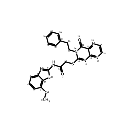 COc1cccc2nc(NC(=O)CSc3nc4nccnc4c(=O)n3CCc3ccccc3)sc12